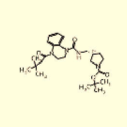 CC(C)(C)CC(=O)N1CCN(C(=O)NC[C@@H]2CCN(C(=O)OC(C)(C)C)C2)c2ccccc21